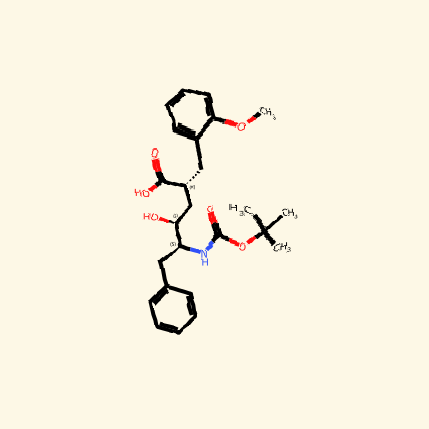 COc1ccccc1C[C@H](C[C@H](O)[C@H](Cc1ccccc1)NC(=O)OC(C)(C)C)C(=O)O